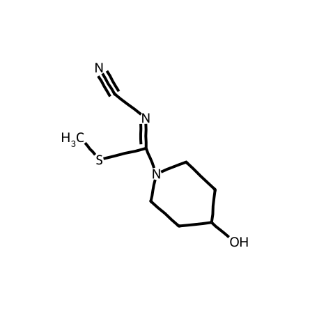 CSC(=NC#N)N1CCC(O)CC1